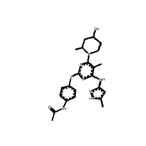 CC(=O)Nc1ccc(Sc2nc(Nc3cc(C)[nH]n3)c(C)c(N3CCC(O)CC3C)n2)cc1